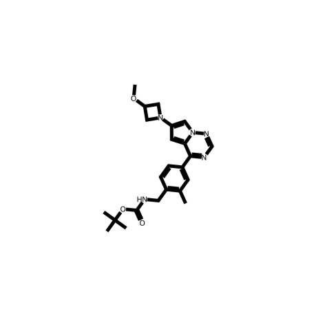 COC1CN(c2cc3c(-c4ccc(CNC(=O)OC(C)(C)C)c(C)c4)ncnn3c2)C1